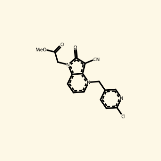 COC(=O)Cn1c2cccn(Cc3ccc(Cl)nc3)c-2c(C#N)c1=O